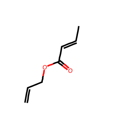 C=CCOC(=O)/C=C/C